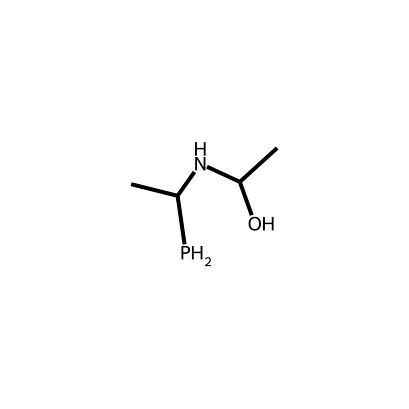 CC(O)NC(C)P